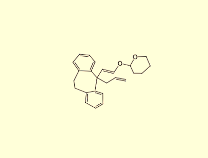 C=CCC1(C=COC2CCCCO2)c2ccccc2CCc2ccccc21